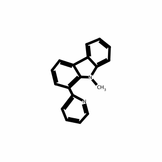 Cn1c2ccccc2c2cccc(-c3ccccn3)c21